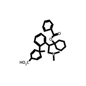 CN(C)CC(c1ccccc1C1(C)C=CC(C(=O)O)C=C1)C1(OC(=O)c2ccccc2)CCCCC1